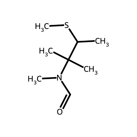 CSC(C)C(C)(C)N(C)C=O